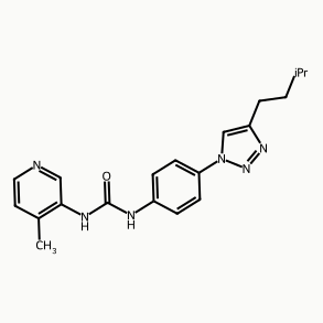 Cc1ccncc1NC(=O)Nc1ccc(-n2cc(CCC(C)C)nn2)cc1